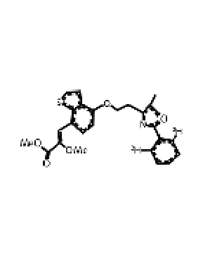 [2H]c1cccc([2H])c1-c1nc(CCOc2ccc(/C=C(\OC)C(=O)OC)c3sccc23)c(C)o1